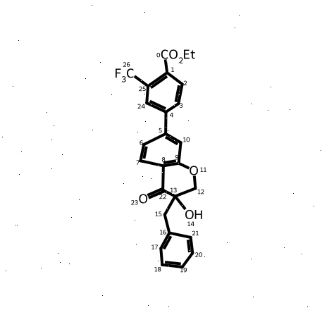 CCOC(=O)c1ccc(-c2ccc3c(c2)OCC(O)(Cc2ccccc2)C3=O)cc1C(F)(F)F